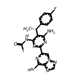 CCCc1nc(-c2nc(N)c([C@H](C)c3ccc(F)cc3)c(NC(=O)I)n2)cn2ncnc12